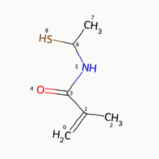 C=C(C)C(=O)NC(C)S